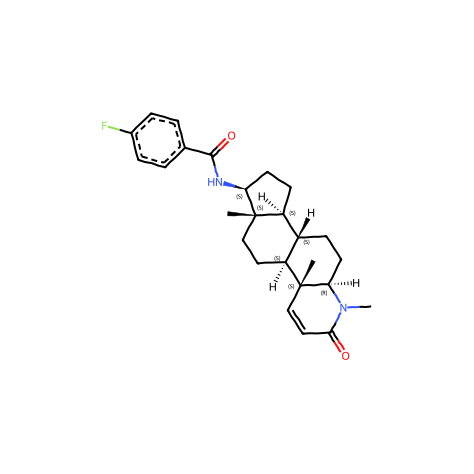 CN1C(=O)C=C[C@]2(C)[C@H]3CC[C@]4(C)[C@@H](NC(=O)c5ccc(F)cc5)CC[C@H]4[C@@H]3CC[C@@H]12